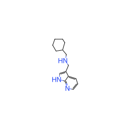 c1cnc2[nH]cc(CNCC3CCCCC3)c2c1